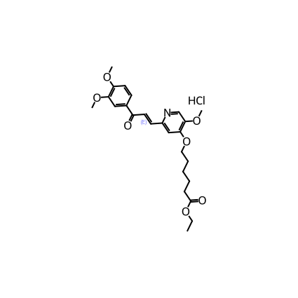 CCOC(=O)CCCCCOc1cc(/C=C/C(=O)c2ccc(OC)c(OC)c2)ncc1OC.Cl